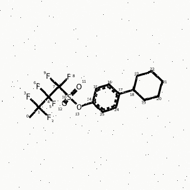 CC(F)(F)C(F)(F)C(F)(F)S(=O)(=O)Oc1ccc(C2CCCCC2)cc1